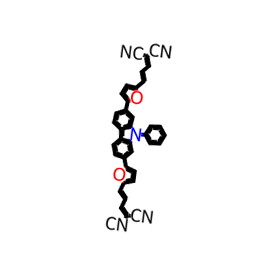 N#CC(C#N)=C/C=C/c1ccc(-c2ccc3c4ccc(-c5ccc(/C=C/C=C(C#N)C#N)o5)cc4n(-c4ccccc4)c3c2)o1